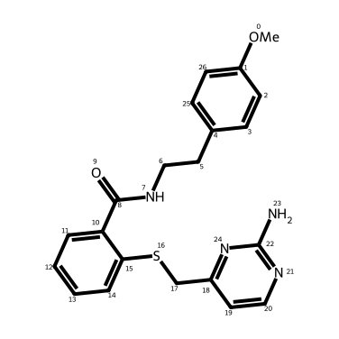 COc1ccc(CCNC(=O)c2ccccc2SCc2ccnc(N)n2)cc1